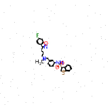 CN(CCCc1noc2cc(F)ccc12)Cc1cccc(NS(=O)(=O)c2csc3ccccc23)c1